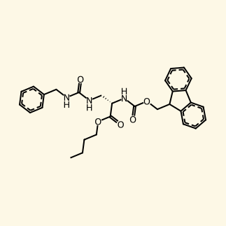 CCCCOC(=O)[C@H](CNC(=O)NCc1ccccc1)NC(=O)OCC1c2ccccc2-c2ccccc21